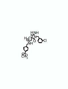 COC(=O)c1ccc(CNC(=O)CC2(C)NC(=N)N(Cc3cccc(Cl)c3)C2=O)cc1